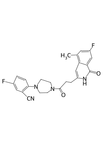 Cc1cc(F)cc2c(=O)[nH]c(CCC(=O)N3CCN(c4ccc(F)cc4C#N)CC3)cc12